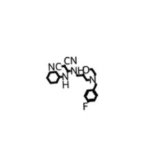 N#CC(C#N)C(NCC1CN(Cc2ccc(F)cc2)CCO1)NC1CCCCC1